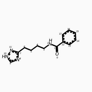 O=C(NCCCCc1nc[nH]n1)c1ccccc1